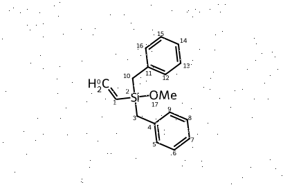 C=C[Si](Cc1ccccc1)(Cc1ccccc1)OC